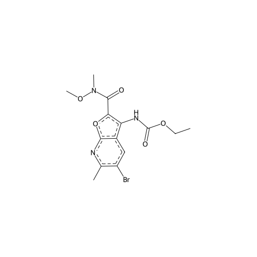 CCOC(=O)Nc1c(C(=O)N(C)OC)oc2nc(C)c(Br)cc12